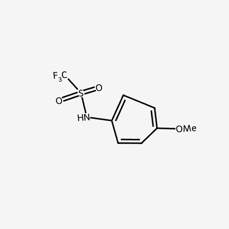 COc1ccc(NS(=O)(=O)C(F)(F)F)cc1